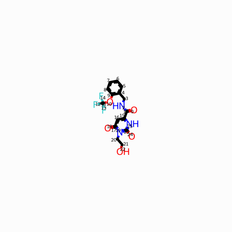 O=C(NCc1ccccc1OC(F)(F)F)c1cc(=O)n(CCO)c(=O)[nH]1